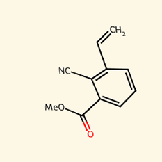 C=Cc1cccc(C(=O)OC)c1C#N